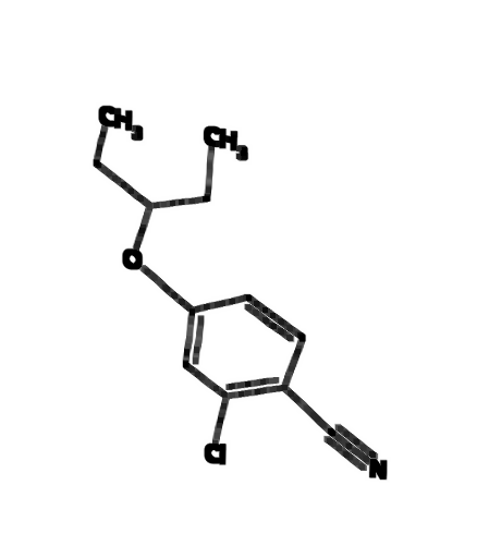 CCC(CC)Oc1ccc(C#N)c(Cl)c1